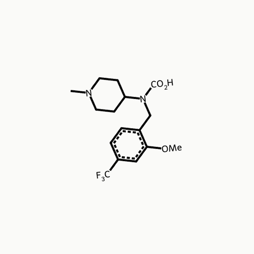 COc1cc(C(F)(F)F)ccc1CN(C(=O)O)C1CCN(C)CC1